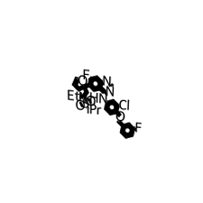 CCN(CC1(c2cc3c(Nc4ccc(OCc5cccc(F)c5)c(Cl)c4)ncnc3cc2F)CC=CO1)S(=O)(=O)C(C)C